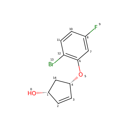 O[C@H]1C=C[C@@H](Oc2cc(F)ccc2Br)C1